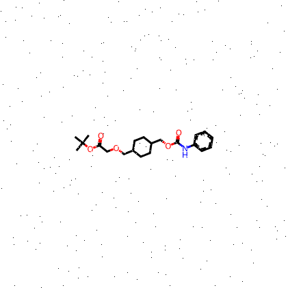 CC(C)(C)OC(=O)COCC1CCC(COC(=O)Nc2ccccc2)CC1